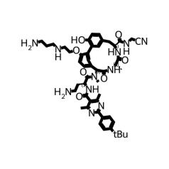 Cc1nc(-c2ccc(C(C)(C)C)cc2)nc(C)c1C(=O)N[C@@H](CCN)C(=O)N(C)[C@@H]1C(=O)N[C@@H](C)C(=O)N[C@H](C(=O)NCC#N)Cc2ccc(O)c(c2)-c2cc1ccc2OCCNCCCN